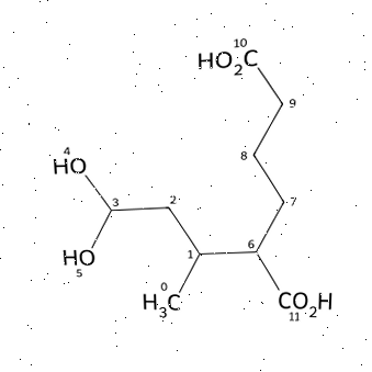 CC(CC(O)O)C(CCCC(=O)O)C(=O)O